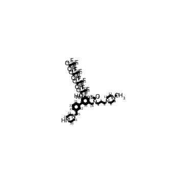 CCCCCCCC(=O)N(CCCN1CCN(C)CC1)Cc1cccc(-c2cccc(CN3CCNCC3)c2)c1.O=C(O)C(F)(F)F.O=C(O)C(F)(F)F.O=C(O)C(F)(F)F.O=C(O)C(F)(F)F